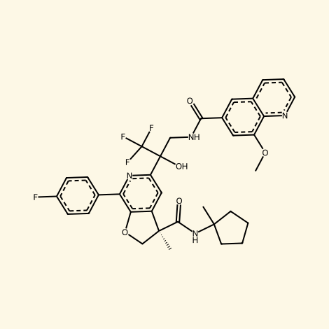 COc1cc(C(=O)NCC(O)(c2cc3c(c(-c4ccc(F)cc4)n2)OC[C@]3(C)C(=O)NC2(C)CCCC2)C(F)(F)F)cc2cccnc12